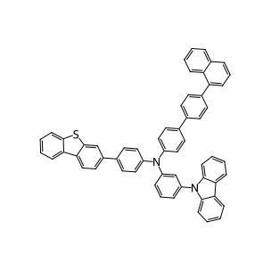 c1cc(N(c2ccc(-c3ccc(-c4cccc5ccccc45)cc3)cc2)c2ccc(-c3ccc4c(c3)sc3ccccc34)cc2)cc(-n2c3ccccc3c3ccccc32)c1